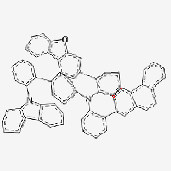 c1ccc(N(c2ccc(-c3ccccc3-n3c4ccccc4c4ccccc43)cc2)c2ccccc2-c2ccc3c(c2)oc2ccccc23)c(-c2ccc3c(ccc4ccccc43)c2)c1